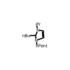 CCCCCN1C=CN(C(C)C)C1CCCC